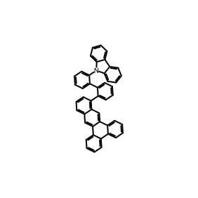 c1ccc(-c2cccc3cc4c5ccccc5c5ccccc5c4cc23)c(-c2ccccc2-n2c3ccccc3c3ccccc32)c1